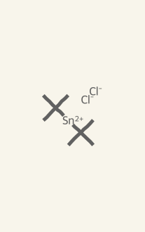 C[C](C)(C)[Sn+2][C](C)(C)C.[Cl-].[Cl-]